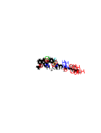 CC(C)N(CCCCNC(=O)NC[C@H](O)[C@@H](O)[C@H](O)[C@H](O)CO)S(=O)(=O)c1cc(COC2(c3cnccc3-c3ccccc3OC3CC3)CC2)c(Cl)cc1F